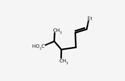 CCC=CCC(C)C(C)C(=O)O